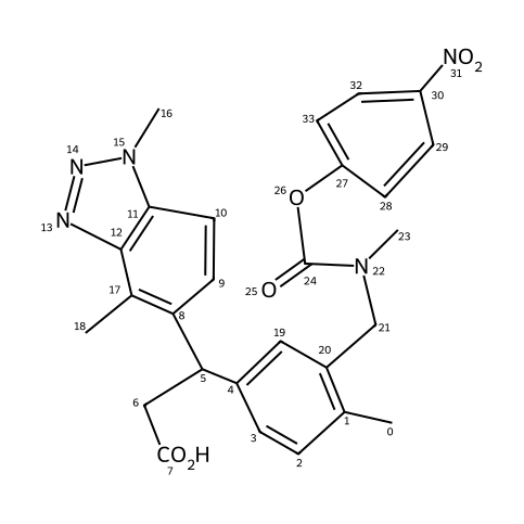 Cc1ccc(C(CC(=O)O)c2ccc3c(nnn3C)c2C)cc1CN(C)C(=O)Oc1ccc([N+](=O)[O-])cc1